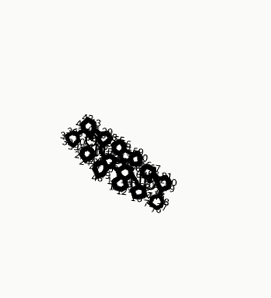 c1ccc(N(c2cc3c(c4ccccc24)-c2c(cc(N(c4ccccc4)c4cccc5c4oc4c(C6CCCCC6)cccc45)c4ccccc24)C32c3ccccc3-c3ccccc32)c2cccc3c2oc2c(C4CCCCC4)cccc23)cc1